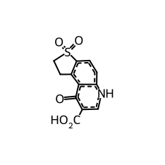 O=C(O)c1c[nH]c2ccc3c(c2c1=O)CCS3(=O)=O